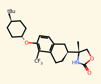 CC(C)(C)[C@H]1CC[C@H](Oc2ccc3c(c2C(F)(F)F)CC[C@H]([C@]2(C)COC(=O)N2)C3)CC1